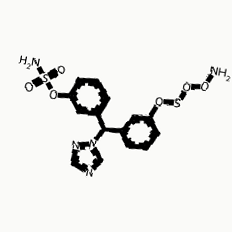 NOOSOc1cccc(C(c2cccc(OS(N)(=O)=O)c2)n2cncn2)c1